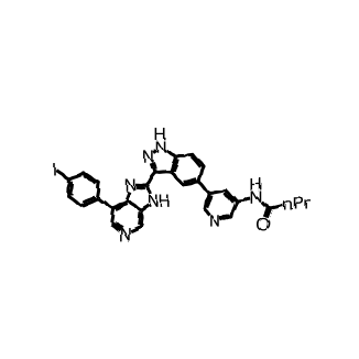 CCCC(=O)Nc1cncc(-c2ccc3[nH]nc(-c4nc5c(-c6ccc(I)cc6)cncc5[nH]4)c3c2)c1